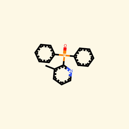 Cc1cccnc1P(=O)(c1ccccc1)c1ccccc1